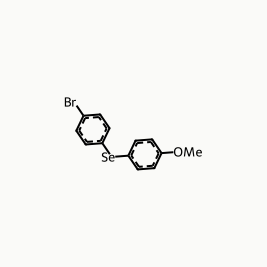 COc1ccc([Se]c2ccc(Br)cc2)cc1